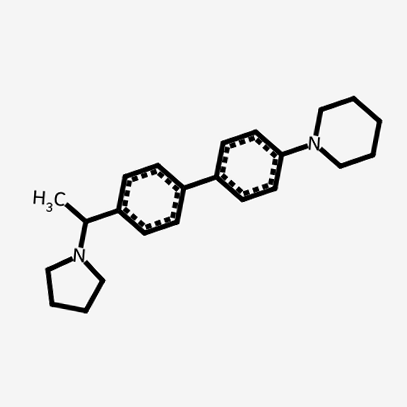 CC(c1ccc(-c2ccc(N3CCCCC3)cc2)cc1)N1CCCC1